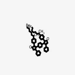 CC(CCCCCBr)c1ccc(C2=C(c3ccc(C4=C(c5ccc(C(C)CCCCCBr)cc5)C(=O)C=C4c4ccccc4)cc3)C(c3ccccc3)=CC2=O)cc1